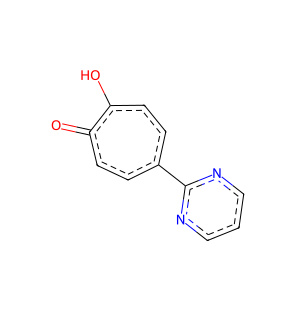 O=c1ccc(-c2ncccn2)ccc1O